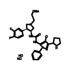 COCCN1C[C@@H](NC(=O)Nc2c(Cl)c(C3CCCN3)nn2-c2ccccc2)[C@H](c2ccc(F)c(F)c2)C1.Cl.Cl